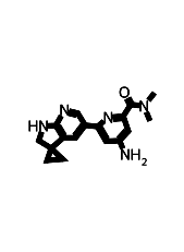 CN(C)C(=O)c1cc(N)cc(-c2cnc3c(c2)C2(CC2)CN3)n1